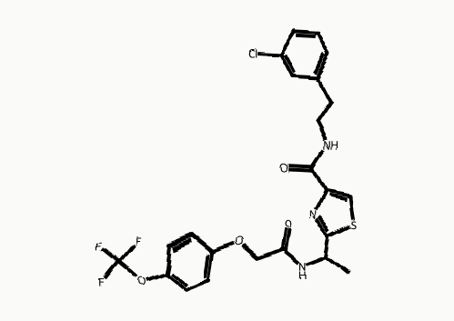 CC(NC(=O)COc1ccc(OC(F)(F)F)cc1)c1nc(C(=O)NCCc2cccc(Cl)c2)cs1